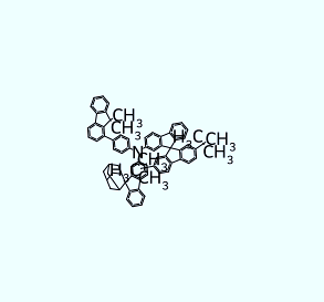 CC(C)(C)c1ccc2c(c1)C1(c3ccccc3-c3ccc(N(c4ccc(-c5cccc6c5C(C)(C)c5ccccc5-6)cc4)c4ccc5c(c4)C4(c6ccccc6-5)C5CC6CC(C5)CC4C6)cc31)c1cc(C(C)(C)C)ccc1-2